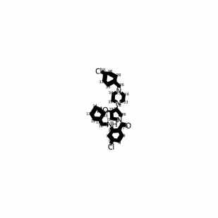 O=C(c1ccc(Cl)cc1NCc1ccccc1)N1C[C@@H](O)[C@H](N2CCN(Cc3ccc(Cl)cc3)CC2)C1